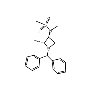 C[C@@H]1[C@@H](N(C)S(C)(=O)=O)CN1C(c1ccccc1)c1ccccc1